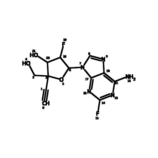 C#CC1(CO)OC(n2cnc3c(N)nc(F)nc32)C(F)C1O